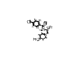 CC(C)[C@@H](CN1CCC(O)CC1)N(C)C(=O)c1ccc(Cl)cc1